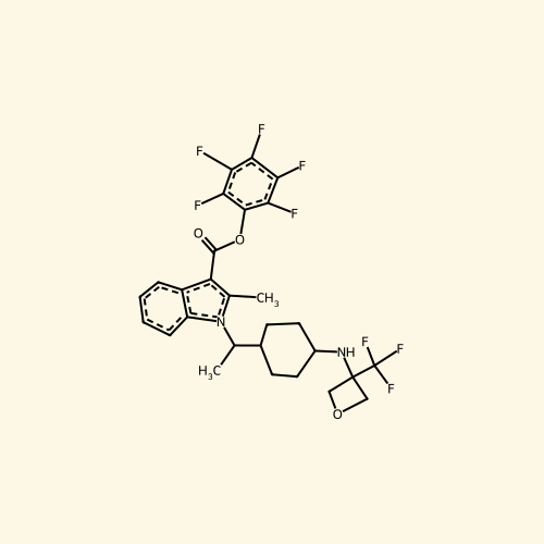 Cc1c(C(=O)Oc2c(F)c(F)c(F)c(F)c2F)c2ccccc2n1C(C)C1CCC(NC2(C(F)(F)F)COC2)CC1